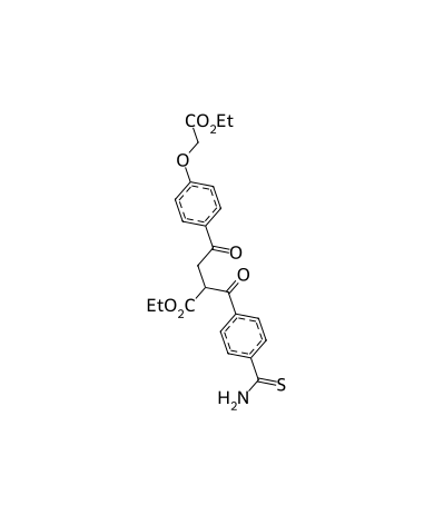 CCOC(=O)COc1ccc(C(=O)CC(C(=O)OCC)C(=O)c2ccc(C(N)=S)cc2)cc1